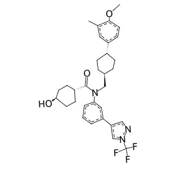 COc1ccc([C@H]2CC[C@H](CN(c3cccc(-c4cnn(C(F)(F)F)c4)c3)C(=O)[C@H]3CC[C@H](O)CC3)CC2)cc1C